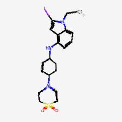 O=S1(=O)CCN(C2CCC(Nc3cccc4c3cc(I)n4CC(F)(F)F)CC2)CC1